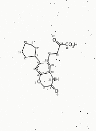 O=C1COc2cc(C3CCCCC3)c(CCC(=O)C(=O)O)cc2N1